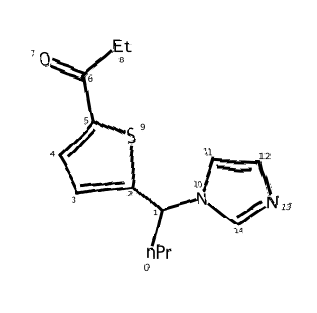 CCCC(c1ccc(C(=O)CC)s1)n1ccnc1